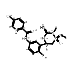 CN=S1(=O)C[C@@](C)(c2cc(NC(=O)c3ccc(Cl)cn3)ccc2F)NC(=N)N1C